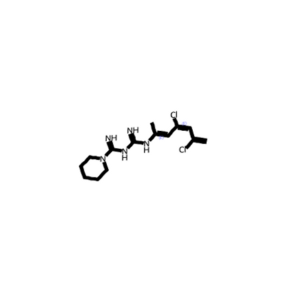 C=C(Cl)/C=C(Cl)\C=C(/C)NC(=N)NC(=N)N1CCCCC1